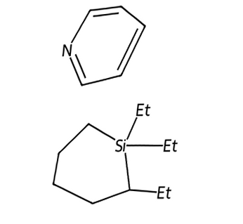 CCC1CCCC[Si]1(CC)CC.c1ccncc1